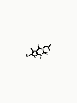 Cc1c(Br)sc2[nH]c(=O)n(CC(C)C)c(=O)c12